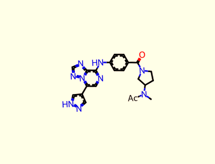 CC(=O)N(C)C1CCN(C(=O)c2ccc(Nc3ncc(-c4cn[nH]c4)n4ncnc34)cc2)C1